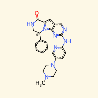 CN1CCN(c2ccc(Nc3ncc4cc5n(c4n3)[C@@H](c3ccccc3)CNC5=O)nc2)CC1